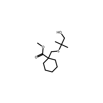 COC(=O)C1(CSC(C)(C)CO)CCCCC1